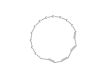 [C]1=C/C=C/C=C\C=C\CCCCCCCCCCCC/1